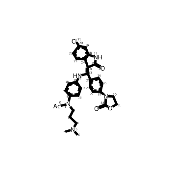 CC(=O)N(CCCN(C)C)c1ccc(NC(=C2C(=O)Nc3cc(Cl)ccc32)c2ccc(N3CCOC3=O)cc2)cc1